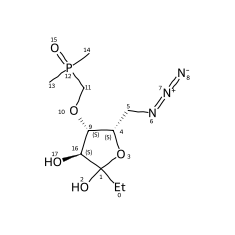 CCC1(O)O[C@@H](CN=[N+]=[N-])[C@@H](OCP(C)(C)=O)[C@@H]1O